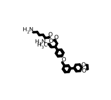 CC=CC(CC(=O)OC(=O)[C@@H](N)CCCCN)c1ccc(OCc2cccc(C3=CCC4(CC3)OCCO4)c2)cc1